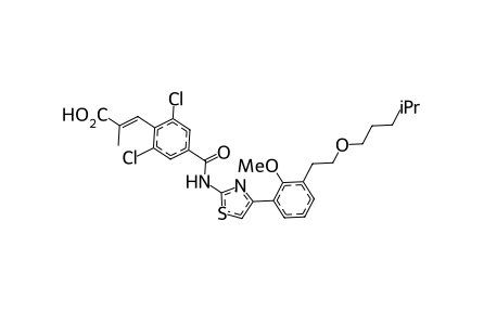 COc1c(CCOCCCC(C)C)cccc1-c1csc(NC(=O)c2cc(Cl)c(C=C(C)C(=O)O)c(Cl)c2)n1